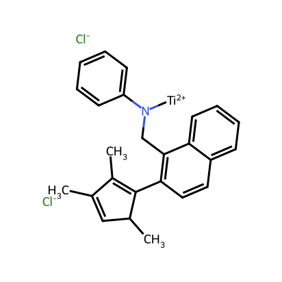 CC1=CC(C)C(c2ccc3ccccc3c2C[N]([Ti+2])c2ccccc2)=C1C.[Cl-].[Cl-]